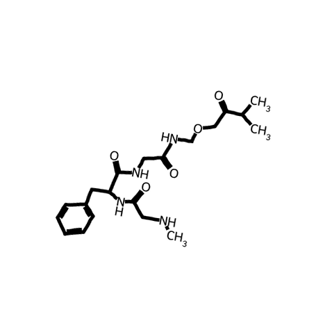 CNCC(=O)NC(Cc1ccccc1)C(=O)NCC(=O)NCOCC(=O)C(C)C